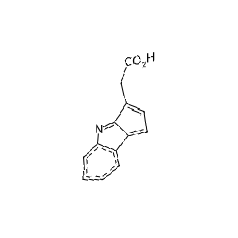 O=C(O)CC1=CC=C2C1=Nc1ccccc12